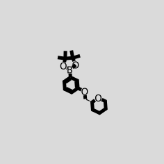 CC1(C)OB(c2cccc(OC[C@H]3CCCCO3)c2)OC1(C)C